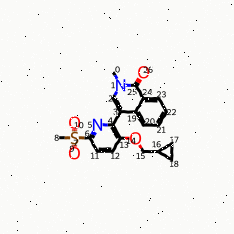 Cn1cc(-c2nc(S(C)(=O)=O)ccc2OCC2CC2)c2ccccc2c1=O